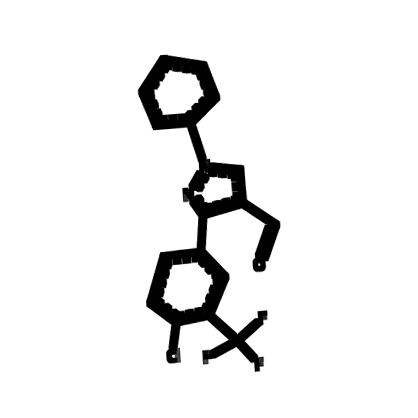 O=Cc1cn(-c2ccccc2)nc1-c1ccc(Cl)c(C(F)(F)F)c1